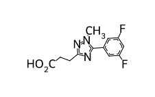 Cn1nc(CCC(=O)O)nc1-c1cc(F)cc(F)c1